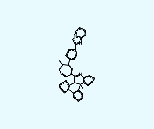 CC1CC=CC(C2=Nc3ccccc3C3(C)c4ccccc4-c4ccccc4C23)=CC1c1ccc(-c2cn3ccccc3n2)cc1